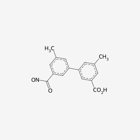 Cc1cc(C(=O)O)cc(-c2cc(C)cc(C(=O)N=O)c2)c1